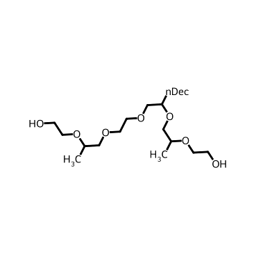 CCCCCCCCCCC(COCCOCC(C)OCCO)OCC(C)OCCO